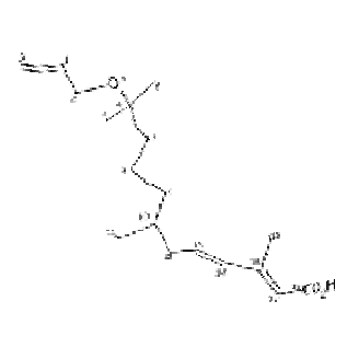 C=CCOC(C)(C)CCCC(C)C/C=C/C(C)=C/C(=O)O